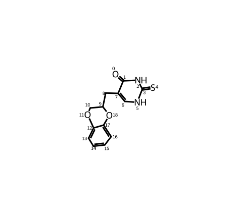 O=c1[nH]c(=S)[nH]cc1CC1COc2ccccc2O1